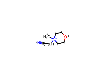 C[N+]1(BC#N)CCOCC1